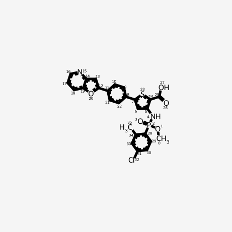 COP(=O)(Nc1cc(-c2ccc(-c3cc4ncccc4o3)cc2)sc1C(=O)O)c1ccc(Cl)cc1C